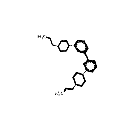 CCC[C@H]1CC[C@H](c2cccc(-c3cccc([C@H]4CC[C@H](CCC)CC4)c3)c2)CC1